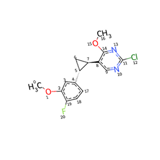 COc1cc([C@@H]2C[C@H]2c2cnc(Cl)nc2OC)ccc1F